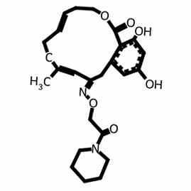 C/C1=C\C(=N\OCC(=O)N2CCCCC2)Cc2cc(O)cc(O)c2C(=O)OCC/C=C/CC1